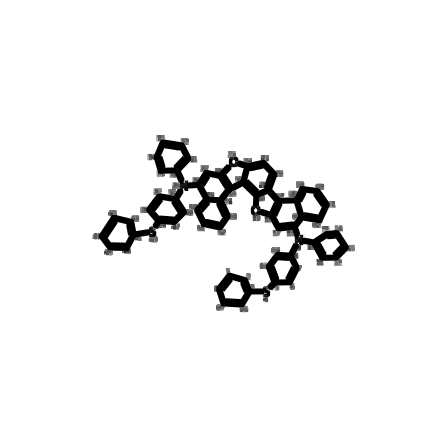 c1ccc(Sc2ccc(N(c3ccccc3)c3cc4oc5c(ccc6oc7cc(N(c8ccccc8)c8ccc(Sc9ccccc9)cc8)c8ccccc8c7c65)c4c4ccccc34)cc2)cc1